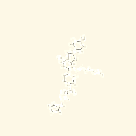 CCCCCn1c(-c2ccc(C(=O)NCCCn3ccnc3)cc2)cc(=O)n2cc(-c3ccc(Cl)cc3)nc12